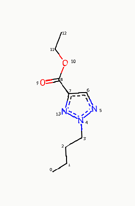 CCCCn1ncc(C(=O)OCC)n1